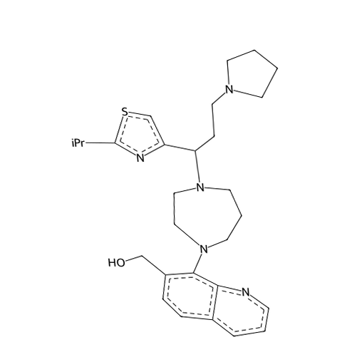 CC(C)c1nc(C(CCN2CCCC2)N2CCCN(c3c(CO)ccc4cccnc34)CC2)cs1